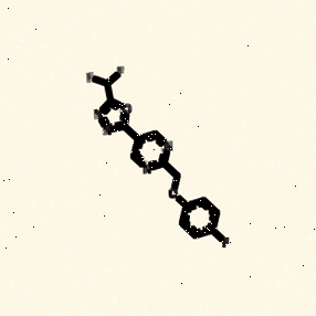 Fc1ccc(OCc2ncc(-c3nnc(C(F)F)o3)cn2)cc1